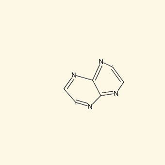 [c]1cnc2n[c]cnc2n1